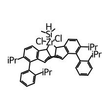 CC1=Cc2c(ccc(C(C)C)c2-c2ccccc2C(C)C)[CH]1[Zr]([Cl])([Cl])([CH]1C(C)=Cc2c1ccc(C(C)C)c2-c1ccccc1C(C)C)[SiH](C)C